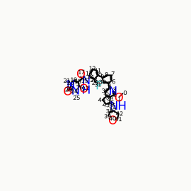 COc1nc(-c2cccc(-c3cccc(NC(=O)c4cn(C)c(=O)n(C)c4=O)c3C)c2F)cc2c1[C@H](NC1CCOCC1)CC2